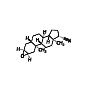 C[C@]12C[C@H]3O[C@H]3C[C@@H]1CC[C@@H]1[C@@H]2CC[C@]2(C)[C@@H](C#N)CC[C@@H]12